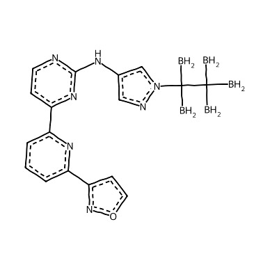 BC(B)(B)C(B)(B)n1cc(Nc2nccc(-c3cccc(-c4ccon4)n3)n2)cn1